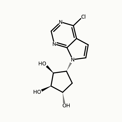 O[C@@H]1[C@H](O)[C@@H](O)C[C@H]1n1ccc2c(Cl)ncnc21